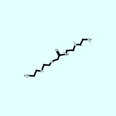 NCCOCCOCC(=O)NCCOCCO